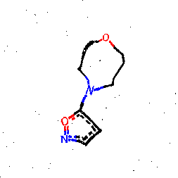 c1cc(N2CCOCC2)on1